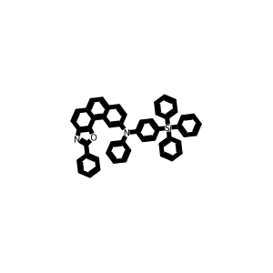 c1ccc(-c2nc3ccc4ccc5ccc(N(c6ccccc6)c6ccc([Si](c7ccccc7)(c7ccccc7)c7ccccc7)cc6)cc5c4c3o2)cc1